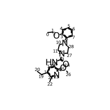 CCOc1ccccc1N1CCN(C(=O)Nc2cc(CC)c(C)nc2OC)CC1